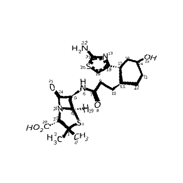 CC1(C)S[C@@H]2[C@H](NC(=O)CC[C@@H]3CCC(O)C[C@H]3c3csc(N)n3)C(=O)N2[C@H]1C(=O)O